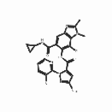 Cc1nc2cc(C(=O)NC3CC3)c(NC(=O)c3cc(C(F)(F)F)nn3-c3ncccc3Cl)c(Cl)c2n1C